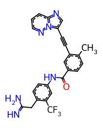 Cc1ccc(C(=O)Nc2ccc(CC(=N)N)c(C(F)(F)F)c2)cc1C#Cc1cnc2cccnn12